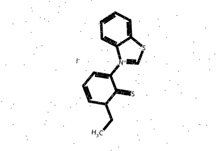 CCC1C=CC=C([n+]2csc3ccccc32)C1=S.[I-]